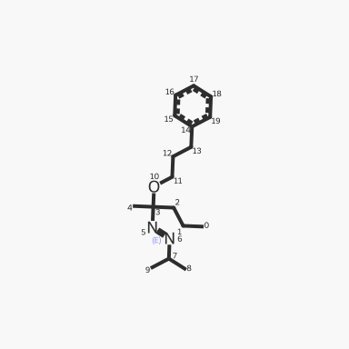 CCCC(C)(/N=N/C(C)C)OCCCc1ccccc1